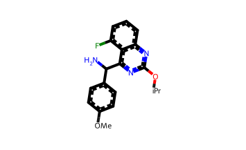 COc1ccc(C(N)c2nc(OC(C)C)nc3cccc(F)c23)cc1